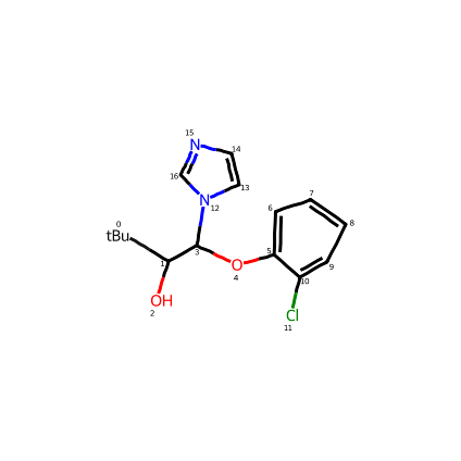 CC(C)(C)C(O)C(Oc1ccccc1Cl)n1ccnc1